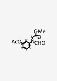 COC(=O)CN(C=O)c1cccc(OC(C)=O)c1